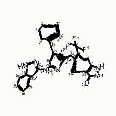 O=c1[nH][nH]c2cc(C(F)(F)F)c(-c3cc(-c4ccccc4)cc(Nc4n[nH]c5ccccc45)n3)cc12